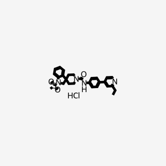 CCc1cc(-c2ccc(NC(=O)N3CCC4(CC3)CN(S(C)(=O)=O)c3ccccc34)cc2)ccn1.Cl